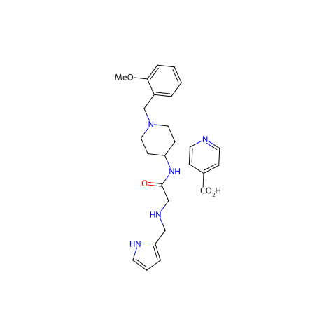 COc1ccccc1CN1CCC(NC(=O)CNCc2ccc[nH]2)CC1.O=C(O)c1ccncc1